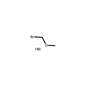 Br.COCBr